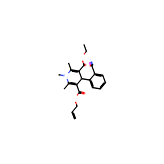 C=CCOC(=O)C1=C(C)N(C)C(C)=C(C(=O)OCC)C1c1ccccc1C#N